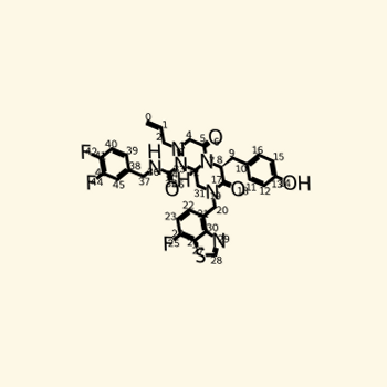 C=CCN1CC(=O)N2[C@@H](Cc3ccc(O)cc3)C(=O)N(Cc3ccc(F)c4scnc34)C[C@@H]2N1C(=O)NCc1ccc(F)c(F)c1